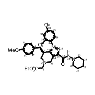 CCOC(=O)CN1CC(=Cc2ccc(OC)cc2)c2c(c(C(=O)NN3CCCCC3)nn2-c2ccc(Cl)cc2Cl)C1